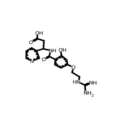 N=C(N)NCCOc1ccc(C(=O)NC(CC(=O)O)c2cccnc2)c(O)c1